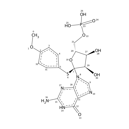 COc1ccc(S[C@@]2(n3cnc4c(=O)[nH]c(N)nc43)O[C@H](COP(=O)(O)O)[C@@H](O)[C@H]2O)cc1